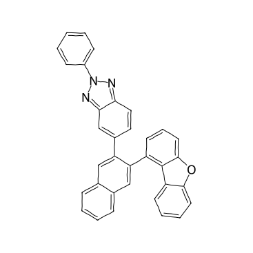 c1ccc(-n2nc3ccc(-c4cc5ccccc5cc4-c4cccc5oc6ccccc6c45)cc3n2)cc1